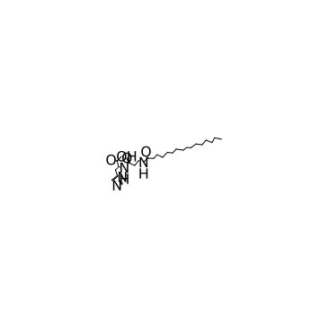 CCCCCCCCCCCCCCCC(=O)NCCC(=O)N[C@@H](Cc1cncn1C)C(=O)O